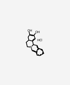 Cl.OC1=C(O)CC2CCN3C=c4ccccc4=CC3C2=C1